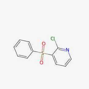 O=S(=O)(c1ccccc1)c1cccnc1Cl